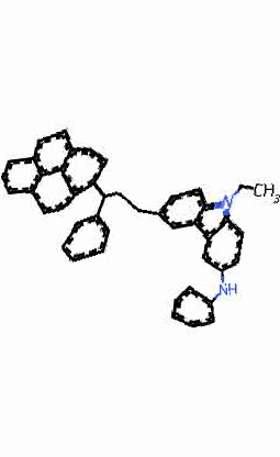 CCn1c2ccc(CCC(c3ccccc3)c3ccc4ccc5cccc6ccc3c4c56)cc2c2cc(Nc3ccccc3)ccc21